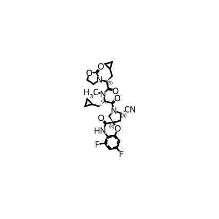 CN(C(=O)[C@H](CC1CC1)N1CCOC1=O)[C@@H](CC1CC1)C(=O)N1C[C@@]2(C[C@H]1C#N)Oc1cc(F)cc(F)c1NC2=O